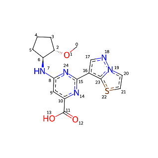 CO[C@H]1CCC[C@@H]1Nc1cc(C(=O)O)nc(-c2cnn3ccsc23)n1